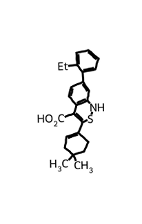 CCc1ccccc1-c1ccc2c(c1)NSC(C1=CCC(C)(C)CC1)=C2C(=O)O